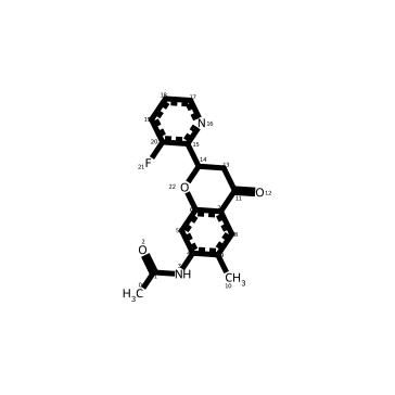 CC(=O)Nc1cc2c(cc1C)C(=O)CC(c1ncccc1F)O2